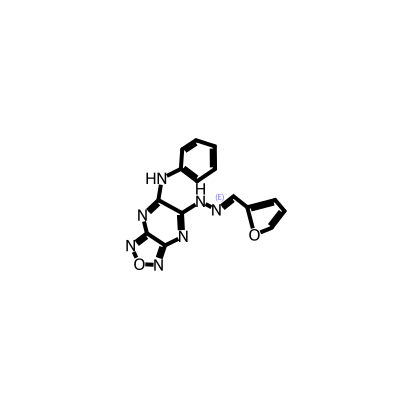 C(=N\Nc1nc2nonc2nc1Nc1ccccc1)/c1ccco1